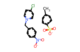 Cc1ccc(S(=O)(=O)[O-])cc1.O=[N+]([O-])c1ccc(C[n+]2ccc(Cl)cc2)cc1